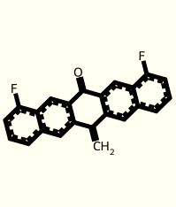 C=C1c2cc3cccc(F)c3cc2C(=O)c2cc3c(F)cccc3cc21